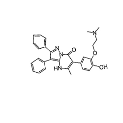 Cc1[nH]c2c(-c3ccccc3)c(-c3ccccc3)nn2c(=O)c1-c1ccc(O)c(OCCN(C)C)c1